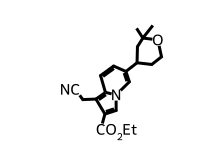 CCOC(=O)c1cn2cc(C3CCOC(C)(C)C3)ccc2c1CC#N